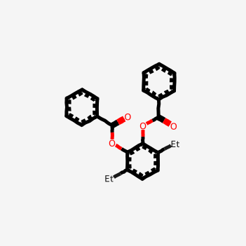 CCc1ccc(CC)c(OC(=O)c2ccccc2)c1OC(=O)c1ccccc1